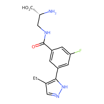 CCc1cn[nH]c1-c1cc(F)cc(C(=O)NC[C@@H](N)C(=O)O)c1